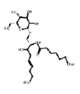 CCCCCCCCCCCCC=CC[C@@H](O)[C@H](CO[C@@H]1O[C@H](CO)[C@@H](O)C(O)C1O)NC(=O)CCCCCCCCCCCCCCC